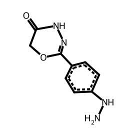 NNc1ccc(C2=NNC(=O)CO2)cc1